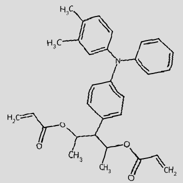 C=CC(=O)OC(C)C(c1ccc(N(c2ccccc2)c2ccc(C)c(C)c2)cc1)C(C)OC(=O)C=C